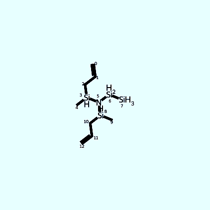 C=CC[SiH](C)N([SiH2][SiH3])[SiH](C)CC=C